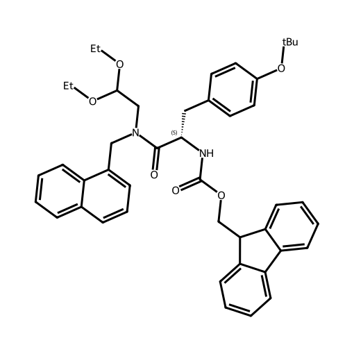 CCOC(CN(Cc1cccc2ccccc12)C(=O)[C@H](Cc1ccc(OC(C)(C)C)cc1)NC(=O)OCC1c2ccccc2-c2ccccc21)OCC